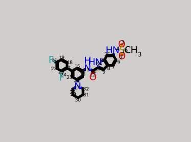 CS(=O)(=O)Nc1ccc2cc(C(=O)Nc3cc(-c4ccc(F)cc4F)cc(N4CCCCC4)c3)[nH]c2c1